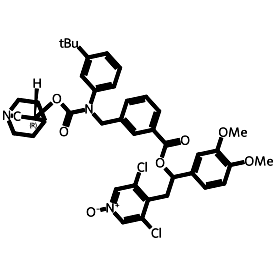 COc1ccc(C(Cc2c(Cl)c[n+]([O-])cc2Cl)OC(=O)c2cccc(CN(C(=O)O[C@H]3CN4CCC3CC4)c3cccc(C(C)(C)C)c3)c2)cc1OC